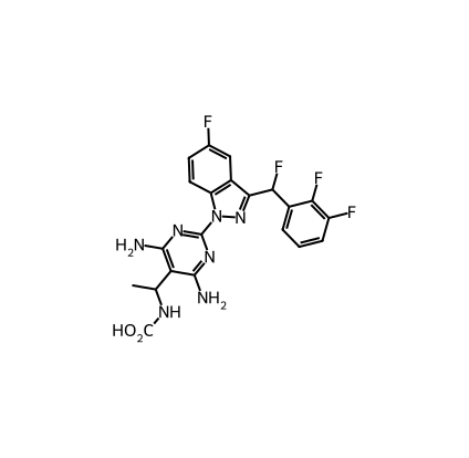 CC(NC(=O)O)c1c(N)nc(-n2nc(C(F)c3cccc(F)c3F)c3cc(F)ccc32)nc1N